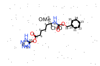 CO[C@](C=O)(CCCCC(=O)Oc1nnn[nH]1)NC(=O)OCc1ccccc1